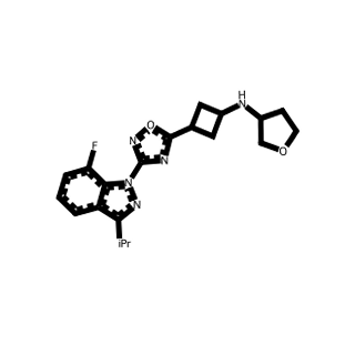 CC(C)c1nn(-c2noc(C3CC(NC4CCOC4)C3)n2)c2c(F)cccc12